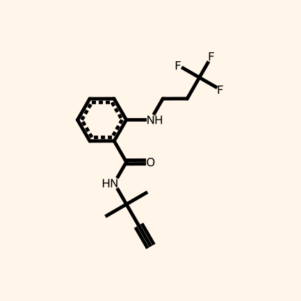 C#CC(C)(C)NC(=O)c1ccccc1NCCC(F)(F)F